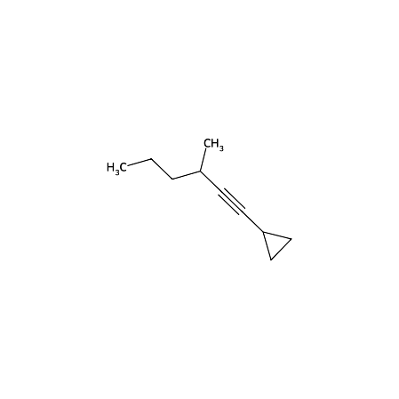 CCCC(C)C#CC1CC1